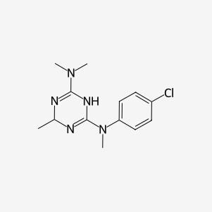 CC1N=C(N(C)C)NC(N(C)c2ccc(Cl)cc2)=N1